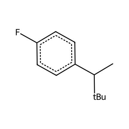 CC(c1ccc(F)cc1)C(C)(C)C